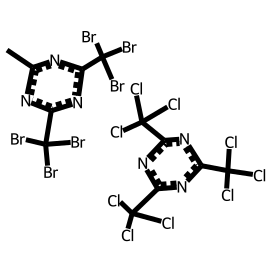 Cc1nc(C(Br)(Br)Br)nc(C(Br)(Br)Br)n1.ClC(Cl)(Cl)c1nc(C(Cl)(Cl)Cl)nc(C(Cl)(Cl)Cl)n1